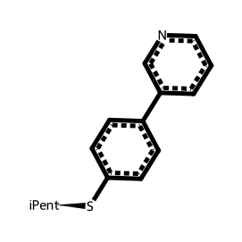 CCC[C@H](C)Sc1ccc(-c2cccnc2)cc1